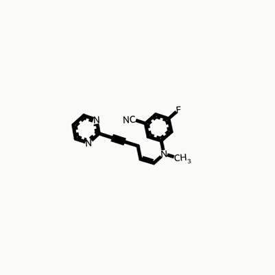 CN(/C=C\CC#Cc1ncccn1)c1cc(F)cc(C#N)c1